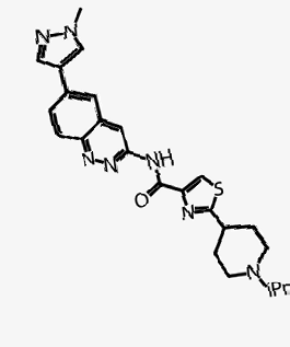 CC(C)N1CCC(c2nc(C(=O)Nc3cc4cc(-c5cnn(C)c5)ccc4nn3)cs2)CC1